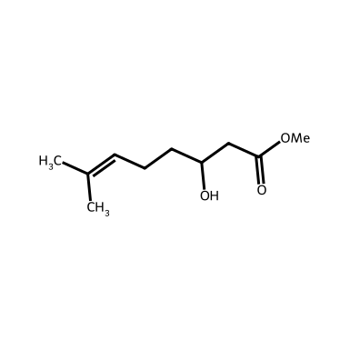 COC(=O)CC(O)CCC=C(C)C